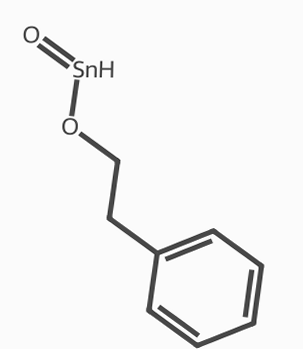 [O]=[SnH][O]CCc1ccccc1